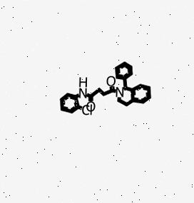 O=C(CCC(=O)N1CCc2ccccc2C1c1ccccc1)Nc1ccccc1Cl